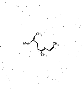 C/C=C\N=C(/C)CC/C(=C\C)NC